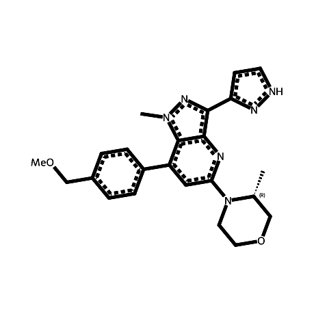 COCc1ccc(-c2cc(N3CCOC[C@H]3C)nc3c(-c4cc[nH]n4)nn(C)c23)cc1